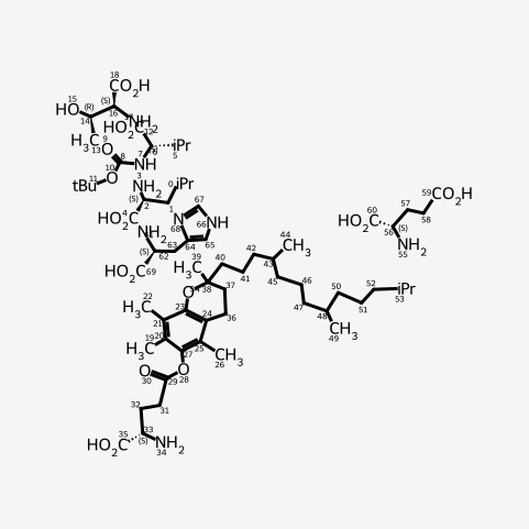 CC(C)C[C@H](N)C(=O)O.CC(C)[C@H](NC(=O)OC(C)(C)C)C(=O)O.C[C@@H](O)[C@H](N)C(=O)O.Cc1c(C)c2c(c(C)c1OC(=O)CC[C@H](N)C(=O)O)CCC(C)(CCCC(C)CCCC(C)CCCC(C)C)O2.N[C@@H](CCC(=O)O)C(=O)O.N[C@@H](Cc1c[nH]cn1)C(=O)O